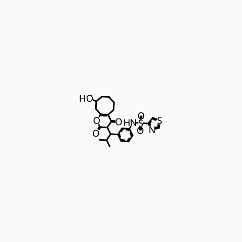 CC(C)C(c1cccc(NS(=O)(=O)c2cscn2)c1)C1C(=O)OC2=C(CCCCC(O)C2)C1=O